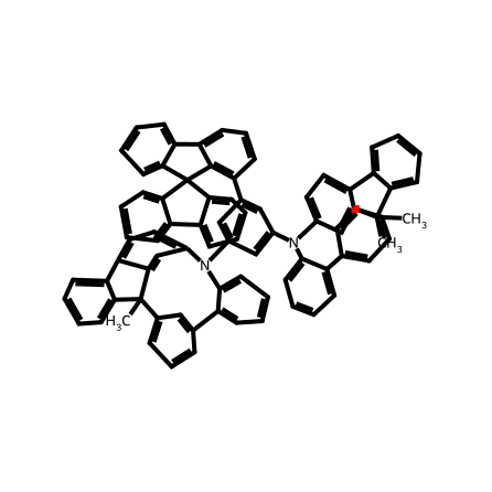 CC1(C)c2ccccc2-c2ccc(N(c3cc(-c4cccc5c4C4(c6ccccc6-c6ccccc64)c4ccccc4-5)cc(N4c5ccc6c(c5)C(C)(c5cccc(c5)-c5ccccc54)c4ccccc4-6)c3)c3ccccc3-c3ccccc3)cc21